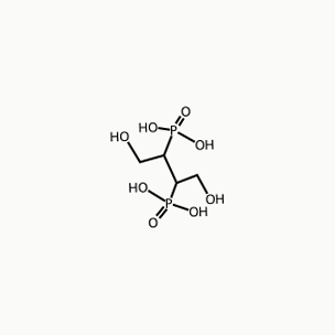 O=P(O)(O)C(CO)C(CO)P(=O)(O)O